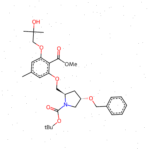 COC(=O)c1c(OC[C@H]2C[C@H](OCc3ccccc3)CN2C(=O)OC(C)(C)C)cc(C)cc1OCC(C)(C)O